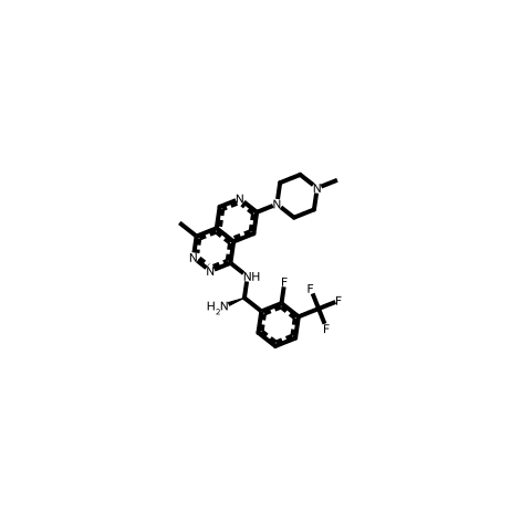 Cc1nnc(N[C@H](N)c2cccc(C(F)(F)F)c2F)c2cc(N3CCN(C)CC3)ncc12